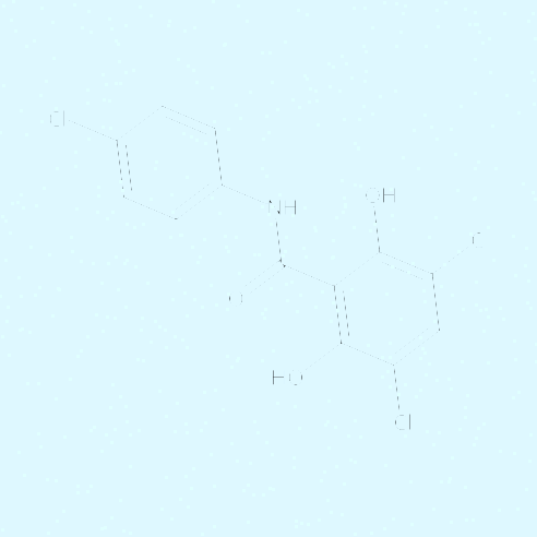 O=C(Nc1ccc(Cl)cc1)c1c(O)c(Cl)cc(Cl)c1O